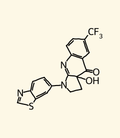 O=C1c2cc(C(F)(F)F)ccc2N=C2N(c3ccc4ncsc4c3)CCC12O